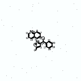 Cc1cc(C(Oc2ccc3ncccc3c2)c2ccccc2)no1